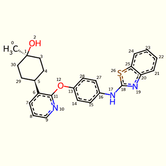 C[C@]1(O)CC[C@@H](c2cccnc2Oc2ccc(Nc3nc4ccccc4s3)cc2)CC1